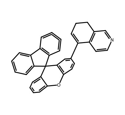 C1=C=CC2=C(C=1)c1ccccc1C21c2ccccc2Oc2ccc(C3=CCCc4cnccc43)cc21